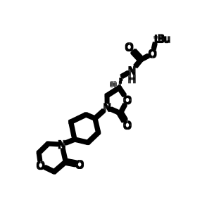 CC(C)(C)OC(=O)NC[C@H]1CN(C2CCC(N3CCOCC3=O)CC2)C(=O)O1